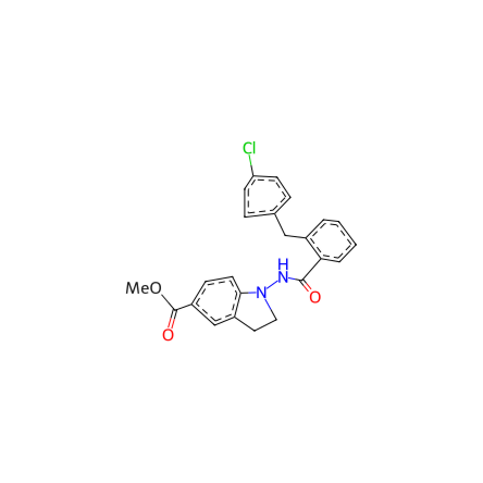 COC(=O)c1ccc2c(c1)CCN2NC(=O)c1ccccc1Cc1ccc(Cl)cc1